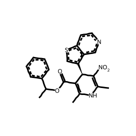 CC1=C(C(=O)OC(C)c2ccccc2)[C@@H](c2csc3ccncc23)C([N+](=O)[O-])=C(C)N1